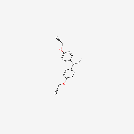 C#CCOc1ccc(C(CC)c2ccc(OCC#C)cc2)cc1